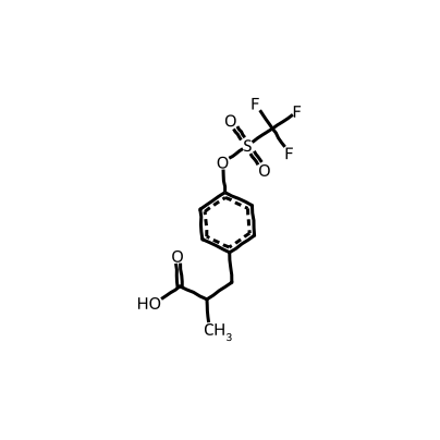 CC(Cc1ccc(OS(=O)(=O)C(F)(F)F)cc1)C(=O)O